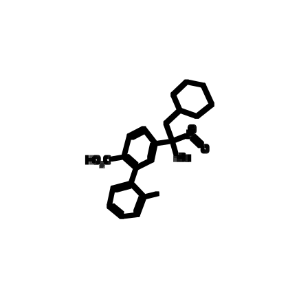 CCCCC(CC1CCCCC1)(c1ccc(C(=O)O)c(-c2ccccc2C)c1)P(=O)=O